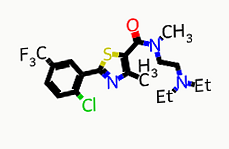 CCN(CC)CCN(C)C(=O)c1sc(-c2cc(C(F)(F)F)ccc2Cl)nc1C